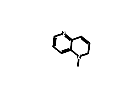 CN1CC=Cc2ncccc21